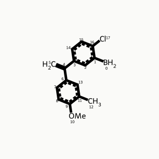 Bc1cc(C(=C)c2ccc(OC)c(C)c2)ccc1Cl